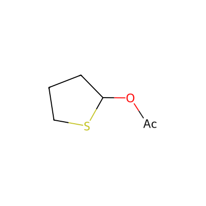 CC(=O)OC1CCCS1